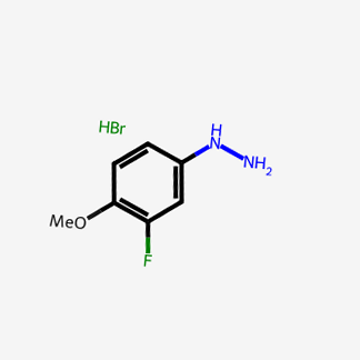 Br.COc1ccc(NN)cc1F